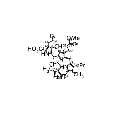 CCCc1c(/C=C2\N=C(Cc3[nH]c(C(=O)O)c(CCCl)c3C)C=C2CCC(=O)OC)[nH]c(Cc2[nH]cc(C)c2CCCl)c1C